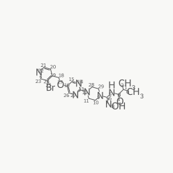 CC(C)C(=O)N/C(=N\O)N1CCN(c2ncc(OCc3ccncc3Br)cn2)CC1